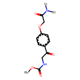 CCN(CC)C(=O)COc1ccc(C(=O)CNC(=O)OC(C)(C)C)cc1